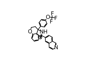 O=C(NC1(c2ccc(OC(F)(F)F)cc2)CCOc2cccnc21)c1ccc2cnccc2c1